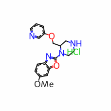 COc1ccc2nc(N3CCNCC3COc3cccnc3)oc2c1.Cl